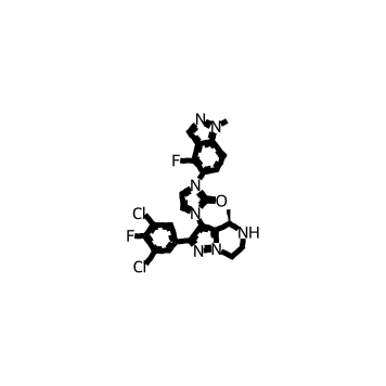 C[C@H]1NCCn2nc(-c3cc(Cl)c(F)c(Cl)c3)c(-n3ccn(-c4ccc5c(cnn5C)c4F)c3=O)c21